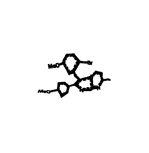 COc1ccc(-c2nc3nc(C)ccn3c2-c2cc(OC)ccc2Br)cc1